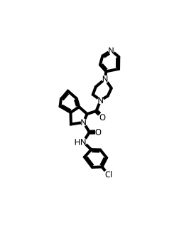 O=C(C1c2ccccc2CN1C(=O)Nc1ccc(Cl)cc1)N1CCN(c2ccncc2)CC1